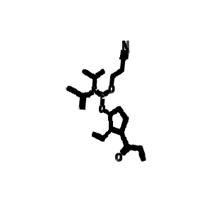 CCC(=O)C1CC[C@H](OP(OCCC#N)N(C(C)C)C(C)C)[C@@H]1CC